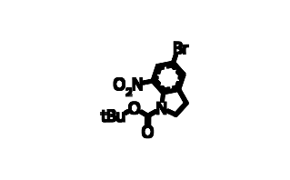 CC(C)(C)OC(=O)N1CCc2cc(Br)cc([N+](=O)[O-])c21